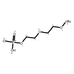 CCCCOCCOCCOP(=O)(O)Cl